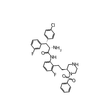 N[C@H](C(=O)Nc1cccc(F)c1CC[C@H]1CNCCN1S(=O)(=O)c1ccccc1)[C@@H](c1ccc(Cl)cc1)c1cccc(F)c1